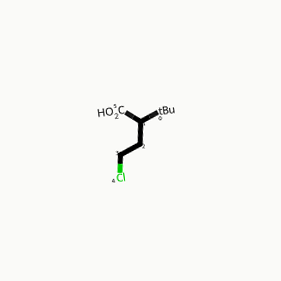 CC(C)(C)C(CCCl)C(=O)O